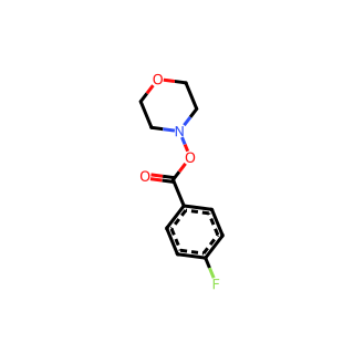 O=C(ON1CCOCC1)c1ccc(F)cc1